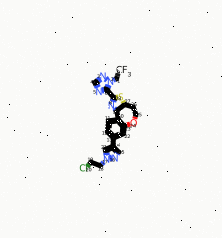 FC(F)(F)Cn1ncnc1C1=NC2c3ccc(-c4cnn(CCCl)c4)cc3OCCC2S1